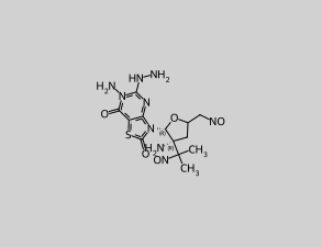 CC(C)(N=O)[C@]1(N)CC(CN=O)O[C@H]1n1c(=O)sc2c(=O)n(N)c(NN)nc21